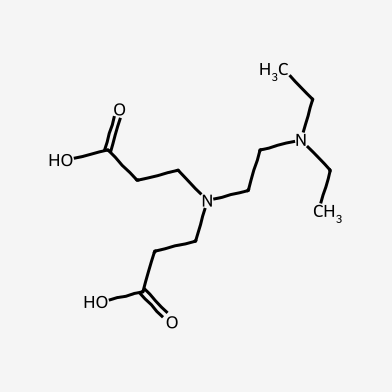 CCN(CC)CCN(CCC(=O)O)CCC(=O)O